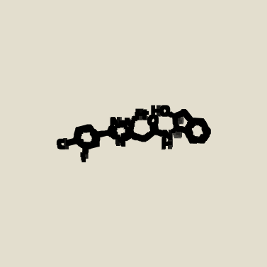 CCn1nc(-c2ccc(Cl)c(F)c2)nc1CC(=O)N[C@H]1c2ccccc2C[C@@H]1O